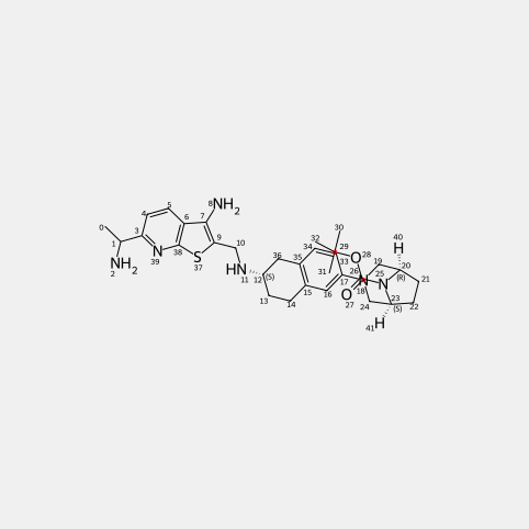 CC(N)c1ccc2c(N)c(CN[C@H]3CCc4cc(N5C[C@H]6CC[C@@H](C5)N6C(=O)OC(C)(C)C)ccc4C3)sc2n1